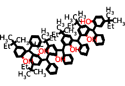 CCC(C)(C)c1ccc(O)c(C(c2ccccc2)c2cc(C(C)(C)CC)cc(C(c3ccccc3)c3cc(C(C)(C)CC)cc(C(c4ccccc4)c4cc(C(C)(C)CC)cc(C(c5ccccc5)c5cc(C(C)(C)CC)cc(C(c6ccccc6)c6cc(C(C)(C)CC)ccc6O)c5O)c4O)c3O)c2O)c1